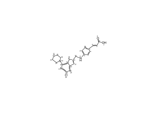 O=C(O)C=Cc1ccc(NCc2cc3nc(Cl)nc(N4CCOCC4)c3s2)cc1